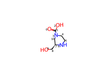 O=C(O)N1CCN[C@@H](CO)C1